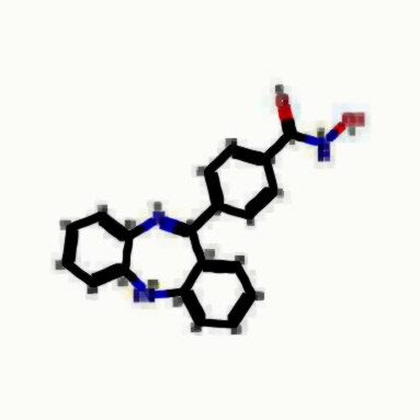 O=C(NO)c1ccc(C2=Nc3ccccc3Nc3ccccc32)cc1